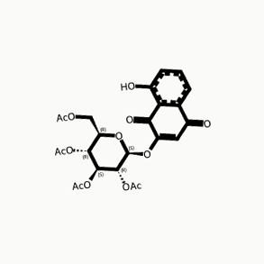 CC(=O)OC[C@H]1O[C@@H](OC2=CC(=O)c3cccc(O)c3C2=O)[C@H](OC(C)=O)[C@@H](OC(C)=O)[C@@H]1OC(C)=O